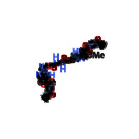 COc1cnc(-n2cnc(COCC(=O)NCCNC(=O)COCc3ncn(-c4ncc(OC)c5c(C(=O)C(=O)N6CCN(C(=O)c7ccccc7)CC6)c[nH]c45)n3)n2)c2[nH]cc(C(=O)C(=O)N3CCN(C(=O)c4ccccc4)CC3)c12